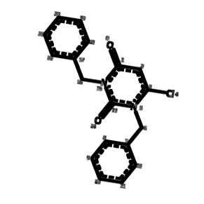 O=c1cc(Cl)n(Cc2ccccc2)c(=O)n1Cc1ccccc1